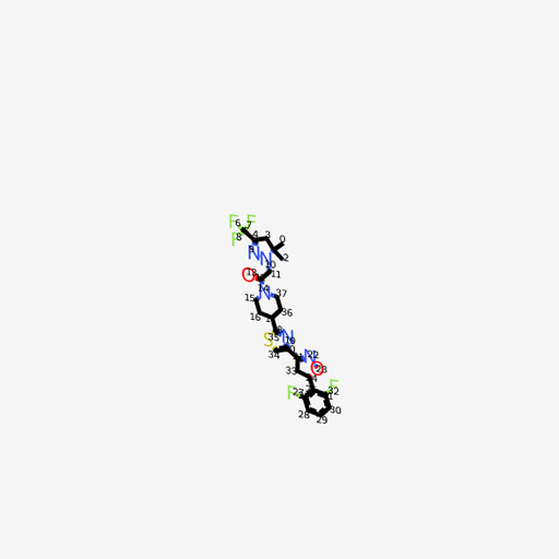 CC1(C)CC(C(F)(F)F)=NN1CC(=O)N1CCC(c2nc(C3=NOC(c4c(F)cccc4F)C3)cs2)CC1